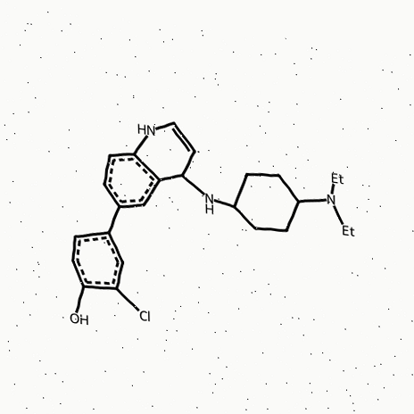 CCN(CC)C1CCC(NC2[C]=CNc3ccc(-c4ccc(O)c(Cl)c4)cc32)CC1